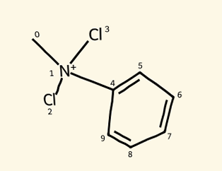 C[N+](Cl)(Cl)c1ccccc1